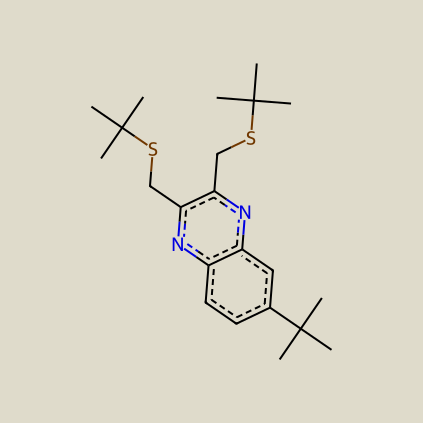 CC(C)(C)SCc1nc2ccc(C(C)(C)C)cc2nc1CSC(C)(C)C